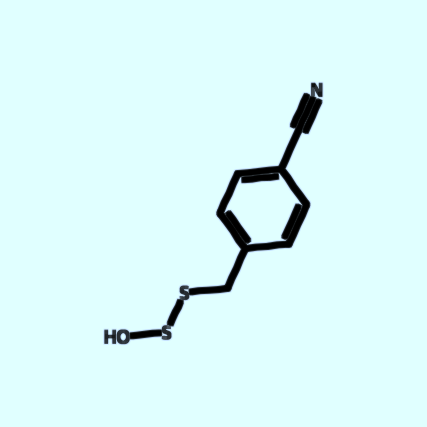 N#Cc1ccc(CSSO)cc1